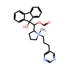 C[N+]1(CCCc2cncnc2)CCCC1C(OC=O)C1(O)c2ccccc2-c2ccccc21